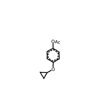 CC(=O)Oc1ccc(OC2CC2)cc1